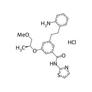 COC[C@H](C)Oc1cc(CCc2ccccc2N)cc(C(=O)Nc2nccs2)c1.Cl